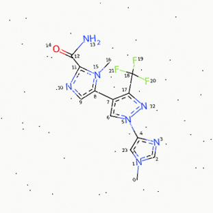 Cn1cnc(-n2cc(-c3cnc(C(N)=O)n3C)c(C(F)(F)F)n2)c1